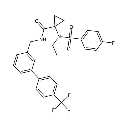 CCN(C1(C(=O)NCc2cccc(-c3ccc(C(F)(F)F)cc3)c2)CC1)S(=O)(=O)c1ccc(F)cc1